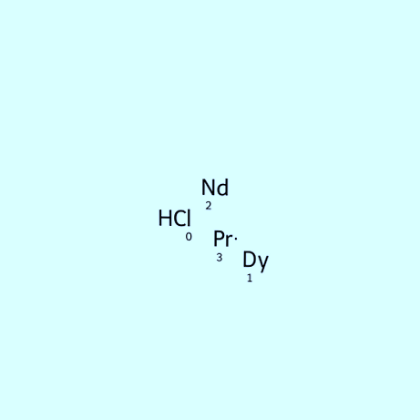 Cl.[Dy].[Nd].[Pr]